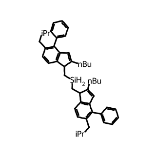 CCCCC1=Cc2c(ccc(CC(C)C)c2-c2ccccc2)C1C[SiH2]CC1C(CCCC)=Cc2c1ccc(CC(C)C)c2-c1ccccc1